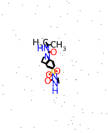 CC(C)NC(=O)N1CCc2cc(S(=O)(=O)n3cc[nH]c3=O)ccc21